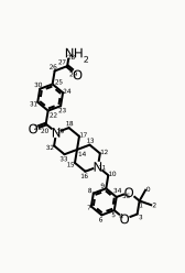 CC1(C)COc2cccc(CN3CCC4(CC3)CCN(C(=O)c3ccc(CC(N)=O)cc3)CC4)c2O1